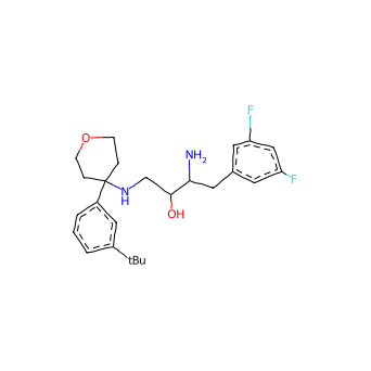 CC(C)(C)c1cccc(C2(NCC(O)C(N)Cc3cc(F)cc(F)c3)CCOCC2)c1